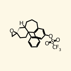 O=S(=O)(Oc1ccc2c(c1)CCC[C@H]1C[C@]3(CCC21c1ccccc1)CO3)C(F)(F)F